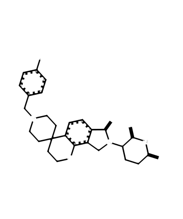 CCc1ccc(CN2CCC3(CCOc4c3ccc3c4CN(C4CCC(=O)NC4=O)C3=O)CC2)cc1